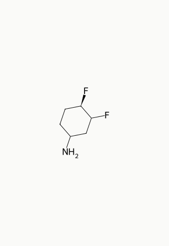 NC1CC[C@@H](F)C(F)C1